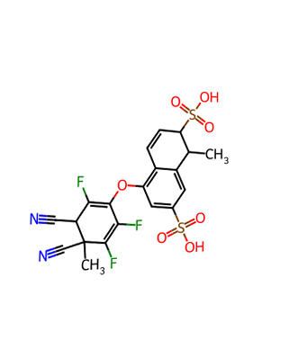 CC1c2cc(S(=O)(=O)O)cc(OC3=C(F)C(C#N)C(C)(C#N)C(F)=C3F)c2C=CC1S(=O)(=O)O